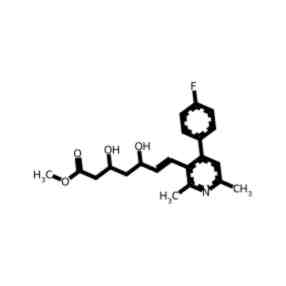 COC(=O)CC(O)CC(O)C=Cc1c(-c2ccc(F)cc2)cc(C)nc1C